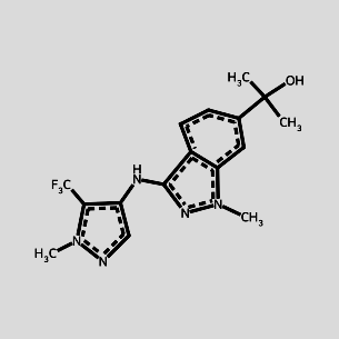 Cn1ncc(Nc2nn(C)c3cc(C(C)(C)O)ccc23)c1C(F)(F)F